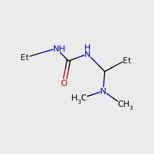 CCNC(=O)NC(CC)N(C)C